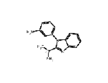 C[C@H](N)c1nc2ccccc2n1-c1cccc(N)c1